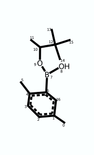 Cc1ccc(C)c(B(O)OC(C)C(C)(C)C)c1